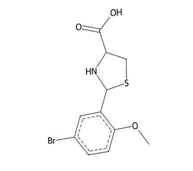 COc1ccc(Br)cc1C1NC(C(=O)O)CS1